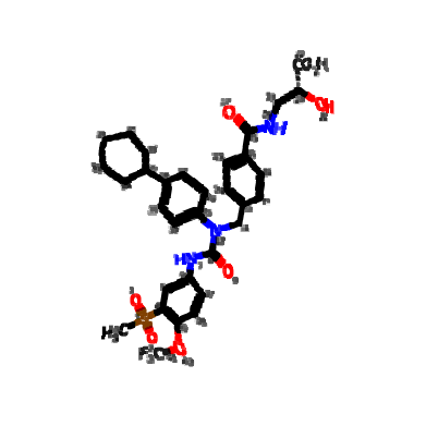 CS(=O)(=O)c1cc(NC(=O)N(Cc2ccc(C(=O)NC[C@@H](O)C(=O)O)cc2)c2ccc(C3CCCCC3)cc2)ccc1OC(F)(F)F